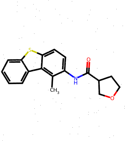 Cc1c(NC(=O)C2CCOC2)ccc2sc3ccccc3c12